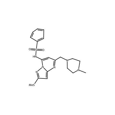 CSc1cc2nc(CN3CCN(C)CC3)cc(NS(=O)(=O)c3ccccc3)n2n1